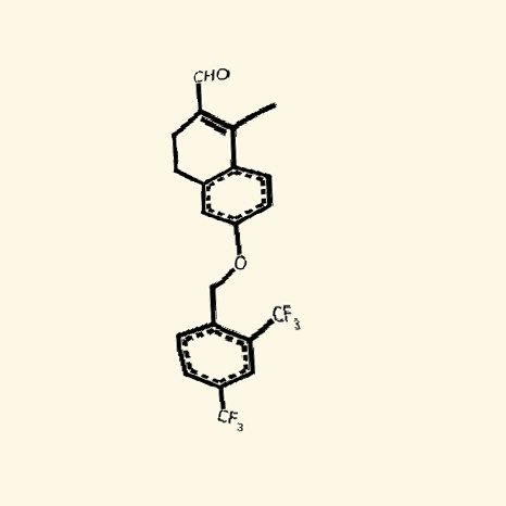 CC1=C(C=O)CCc2cc(OCc3ccc(C(F)(F)F)cc3C(F)(F)F)ccc21